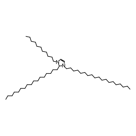 CCCCCCCCCCCCCCCCCCCN1C=CN(CCCCCCCCCCC)C1CCCCCCCCCCCCCCCCC